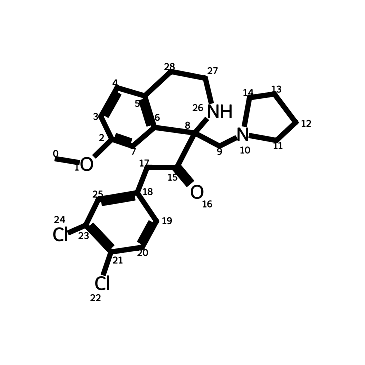 COc1ccc2c(c1)C(CN1CCCC1)(C(=O)Cc1ccc(Cl)c(Cl)c1)NCC2